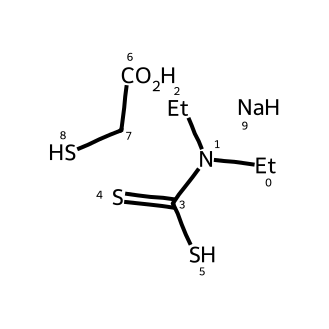 CCN(CC)C(=S)S.O=C(O)CS.[NaH]